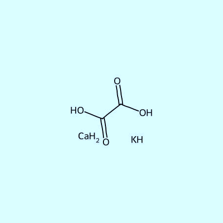 O=C(O)C(=O)O.[CaH2].[KH]